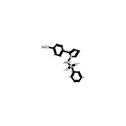 COc1ccc(-c2cccn2NS(=O)(=O)c2ccccc2)cc1